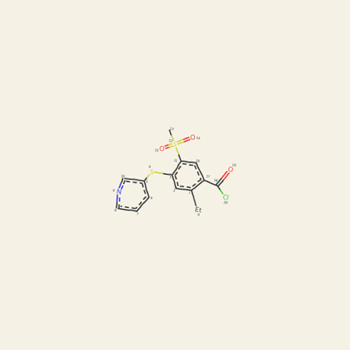 CCc1cc(Sc2cccnc2)c(S(C)(=O)=O)cc1C(=O)Cl